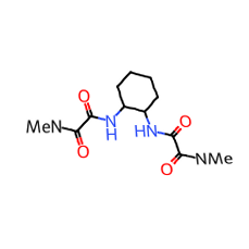 CNC(=O)C(=O)NC1CCCCC1NC(=O)C(=O)NC